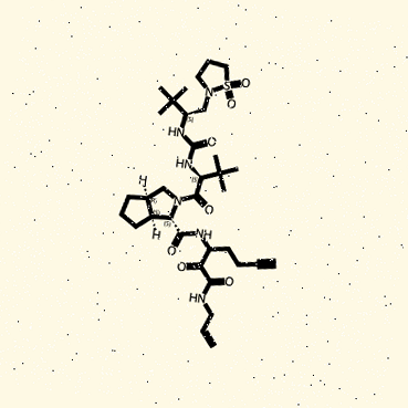 C#CCCC(NC(=O)[C@@H]1[C@H]2CCC[C@H]2CN1C(=O)[C@@H](NC(=O)N[C@H](CN1CCCS1(=O)=O)C(C)(C)C)C(C)(C)C)C(=O)C(=O)NCC=C